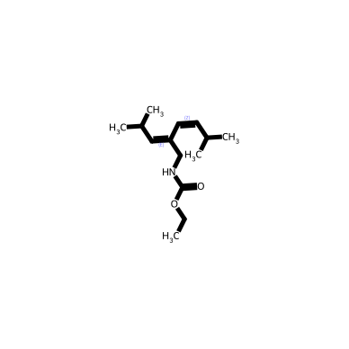 CCOC(=O)NCC(/C=C\C(C)C)=C/C(C)C